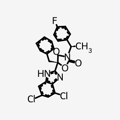 C[C@H](c1ccc(F)cc1)N1C(=O)O[C@](Cc2ccccc2)(c2nc3c(Cl)cc(Cl)cc3[nH]2)C1=O